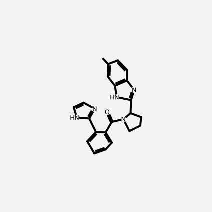 Cc1ccc2nc(C3CCCN3C(=O)c3ccccc3-c3ncc[nH]3)[nH]c2c1